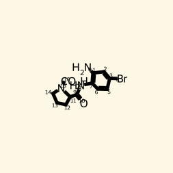 Nc1cc(Br)ccc1NC(=O)C1CCCN1C(=O)O